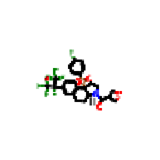 O=C(C1COC1)N1CC[C@]2(S(=O)(=O)c3ccc(F)cc3)c3ccc(C(F)(C(F)(F)F)C(F)(F)F)cc3CC[C@H]12